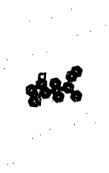 Clc1cccc(-c2cccc3c4cccnc4n(-c4ccc(-c5c6ccccc6c(-c6cc(-c7ccccc7)cc(-c7ccc8ccccc8c7)c6)c6ccccc56)cc4)c23)c1